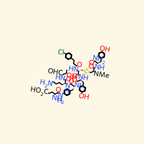 CN[C@@H](CSSC[C@@H](NC(=O)CCc1ccc(Cl)cc1)C(=O)N[C@@H](Cc1ccc(O)cc1)C(=O)N[C@H](Cc1ccc(NC(=O)[C@@H](N)CCC(=O)O)cc1)C(=O)N[C@@H](CCCCN)C(=O)NC(C=O)C(C)O)C(=O)N[C@H](Cc1ccc(O)cc1)C(N)=O